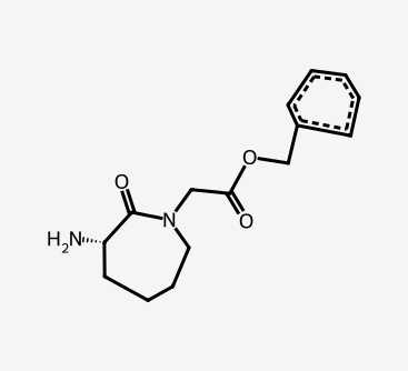 N[C@H]1CCCCN(CC(=O)OCc2ccccc2)C1=O